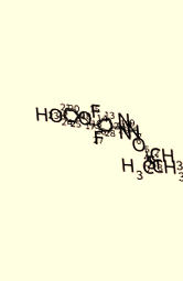 C[Si](C)(C)CCOCn1cnc(-c2cc(F)c(COc3ccc(O)cc3)c(F)c2)n1